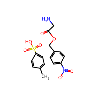 Cc1ccc(S(=O)(=O)O)cc1.NCC(=O)OCc1ccc([N+](=O)[O-])cc1